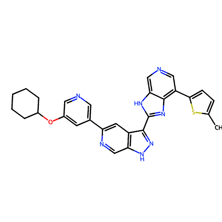 Cc1ccc(-c2cncc3[nH]c(-c4n[nH]c5cnc(-c6cncc(OC7CCCCC7)c6)cc45)nc23)s1